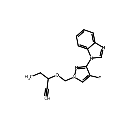 C#CC(CC)OCn1cc(F)c(-n2cnc3ccccc32)n1